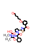 CC(C(=O)NC(C(=O)N1CCC[C@H]1c1nc(C(=O)c2cccc(OCCCCC=O)c2)cs1)C1CCCCC1)N(C)C(=O)O